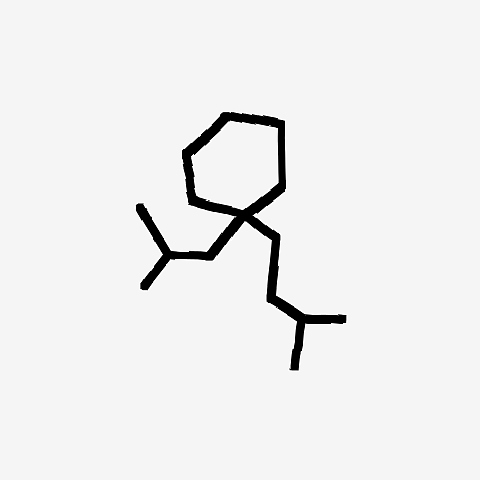 CC(C)CCC1(CC(C)C)CCCCC1